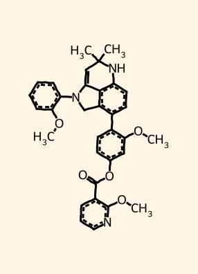 COc1cc(OC(=O)c2cccnc2OC)ccc1-c1ccc2c3c1CN(c1ccccc1OC)C3=CC(C)(C)N2